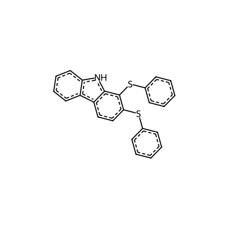 c1ccc(Sc2ccc3c([nH]c4ccccc43)c2Sc2ccccc2)cc1